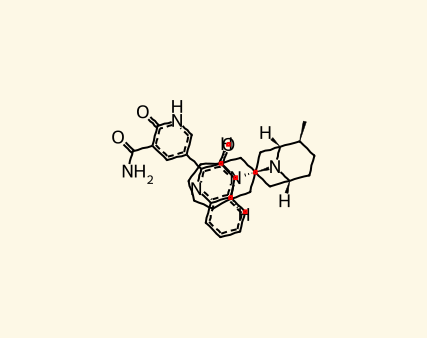 C[C@H]1CC[C@@H]2C[C@H](n3c(=O)c(-c4c[nH]c(=O)c(C(N)=O)c4)nc4ccccc43)C[C@H]1N2[C@@H]1C[C@@H]2CCCC[C@@H](C2)C1